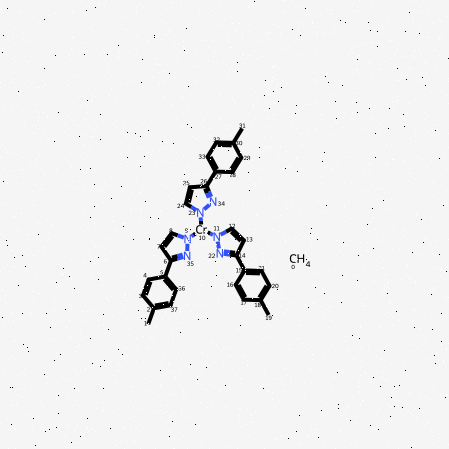 C.Cc1ccc(-c2cc[n]([Cr]([n]3ccc(-c4ccc(C)cc4)n3)[n]3ccc(-c4ccc(C)cc4)n3)n2)cc1